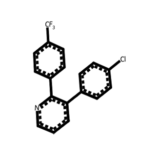 FC(F)(F)c1ccc(-c2nc[c]cc2-c2ccc(Cl)cc2)cc1